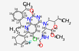 C=CCCN(c1nc(=O)n(-c2c(CC)cccc2CC)c2nc(C3=CCCC=C3F)c(Cl)cc12)C(CNC=O)C(=O)OC